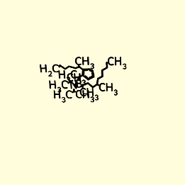 C=CCCCC(C)c1ccccc1C(C)B(C(C)CCC(C)CCCCCC)N(C(C)C)C(C)C